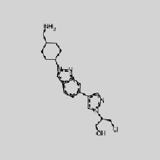 NCC1CCC(n2cc3ccc(-c4cnn(C(CO)CCl)c4)cc3n2)CC1